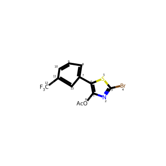 CC(=O)Oc1nc(Br)sc1-c1cccc(C(F)(F)F)c1